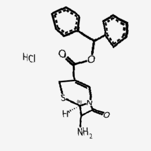 Cl.NC1C(=O)N2C=C(C(=O)OC(c3ccccc3)c3ccccc3)CS[C@H]12